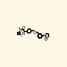 CN(C(=O)[C@@H](N)C1CCC(COCc2cccc(N3CCC[S+]3[O-])c2)CC1)C1CCC1